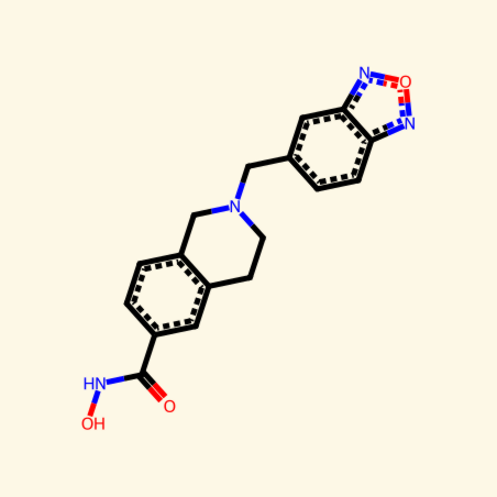 O=C(NO)c1ccc2c(c1)CCN(Cc1ccc3nonc3c1)C2